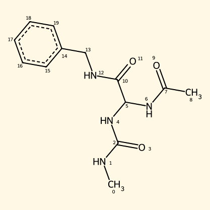 CNC(=O)NC(NC(C)=O)C(=O)NCc1ccccc1